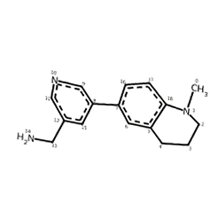 CN1CCCc2cc(-c3cncc(CN)c3)ccc21